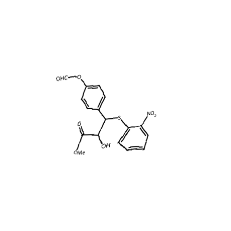 COC(=O)C(O)C(Sc1ccccc1[N+](=O)[O-])c1ccc(OC=O)cc1